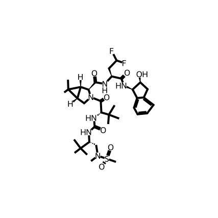 CN(C[C@@H](NC(=O)N[C@H](C(=O)N1C[C@H]2[C@@H]([C@H]1C(=O)N[C@@H](CC(F)F)C(=O)N[C@@H]1c3ccccc3C[C@@H]1O)C2(C)C)C(C)(C)C)C(C)(C)C)S(C)(=O)=O